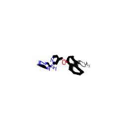 Cc1ccc(OCc2ccnc(Nc3cnccn3)c2)c2ccccc12